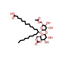 CCCCCCCCCC(CCCCCCCCCCCC(=O)O)O[C@@H]1O[C@H](COC(C)=O)[C@@H](O)[C@H](O)[C@H]1O[C@@H]1O[C@H](COC(C)=O)[C@@H](O)[C@H](O)[C@H]1O